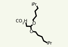 CC(C)CCCCOC(CC(=O)O)OCCCCC(C)C